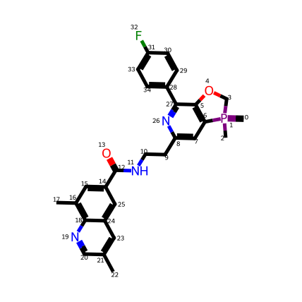 C=P1(C)COc2c1cc(CCNC(=O)c1cc(C)c3ncc(C)cc3c1)nc2-c1ccc(F)cc1